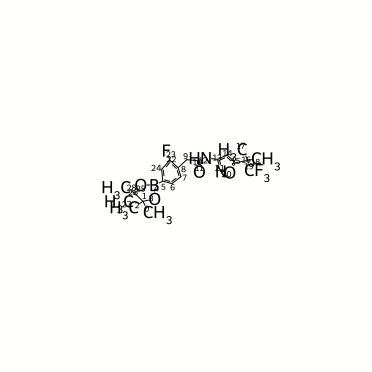 CC1(C)OB(c2ccc(CC(=O)Nc3cc(C(C)(C)C(F)(F)F)on3)c(F)c2)OC1(C)C